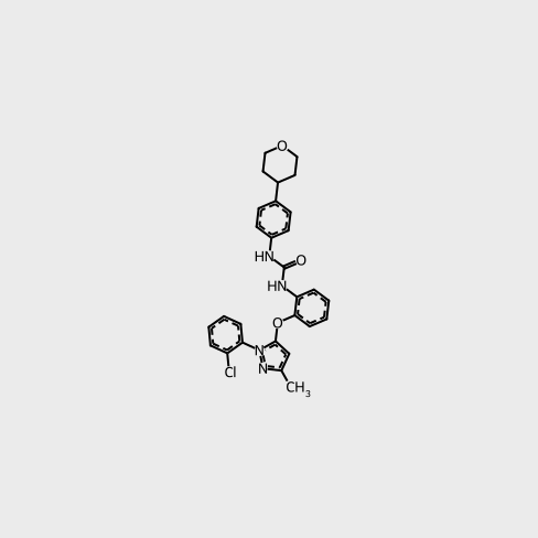 Cc1cc(Oc2ccccc2NC(=O)Nc2ccc(C3CCOCC3)cc2)n(-c2ccccc2Cl)n1